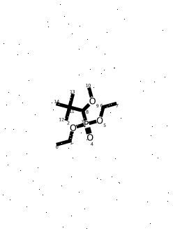 CCOP(=O)(OCC)C(OC)C(C)(C)C